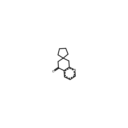 O=C1CC2(CCCC2)Cc2ncccc21